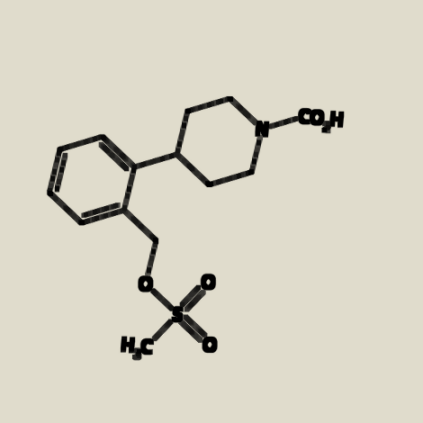 CS(=O)(=O)OCc1ccccc1C1CCN(C(=O)O)CC1